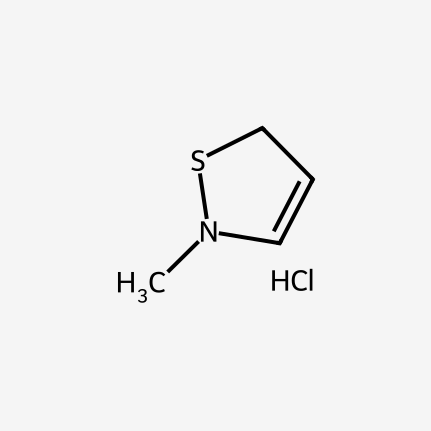 CN1C=CCS1.Cl